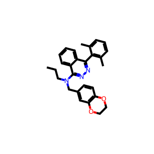 CCCN(Cc1ccc2c(c1)OCCO2)c1nnc(-c2c(C)cccc2C)c2ccccc12